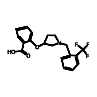 O=C(O)c1ccccc1OC1CCN(Cc2ccccc2C(F)(F)F)C1